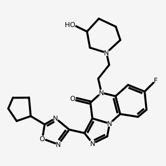 O=c1c2c(-c3noc(C4CCCC4)n3)ncn2c2ccc(F)cc2n1CCN1CCCC(O)C1